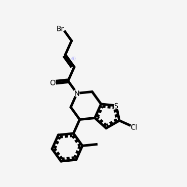 Cc1ccccc1C1CN(C(=O)/C=C/CBr)Cc2sc(Cl)cc21